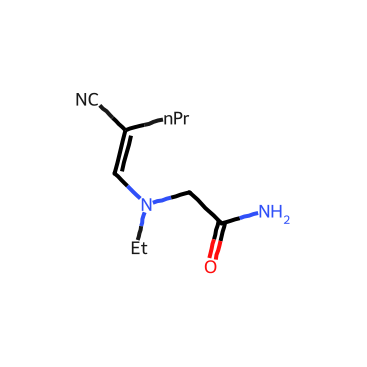 CCC/C(C#N)=C\N(CC)CC(N)=O